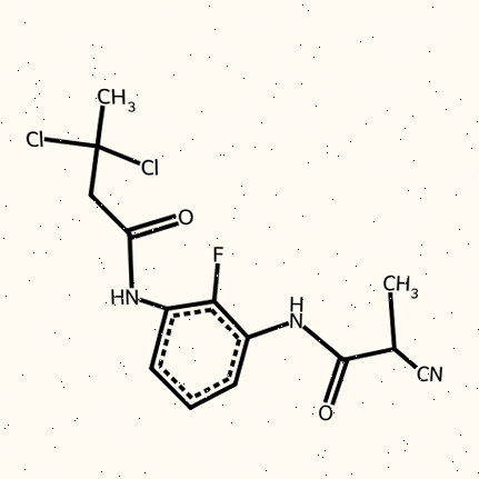 CC(C#N)C(=O)Nc1cccc(NC(=O)CC(C)(Cl)Cl)c1F